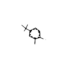 CCC(C)(CC)c1ccc(O)c(O)c1